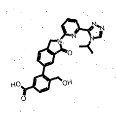 CC(C)n1cnnc1-c1cccc(N2Cc3ccc(-c4cc(C(=O)O)ccc4CO)cc3C2=O)n1